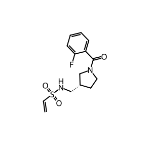 C=CS(=O)(=O)NC[C@H]1CCN(C(=O)c2ccccc2F)C1